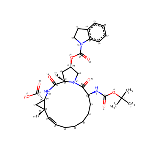 CC(C)(C)OC(=O)N[C@H]1CCCCCC=C[C@@H]2C[C@@]2(C(=O)O)NC(=O)[C@@H]2C[C@@H](OC(=O)N3CCc4ccccc43)CN2C1=O